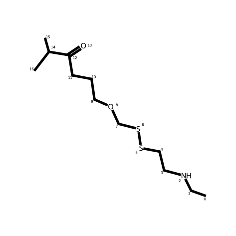 CCNCCSSCOCCCC(=O)C(C)C